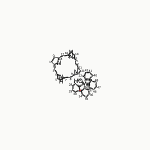 C1=Cc2cc3ccc(cc4nc(cc5ccc(cc1n2)[nH]5)C=C4)[nH]3.[OH][Mn]([c]1ccccc1)([c]1ccccc1)([c]1ccccc1)[c]1ccccc1